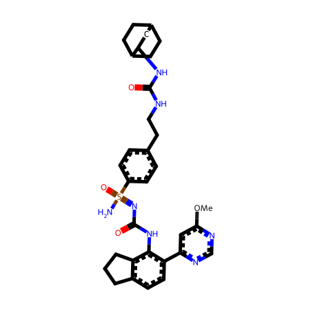 COc1cc(-c2ccc3c(c2NC(=O)N=S(N)(=O)c2ccc(CCNC(=O)NC4CC5CCC4CC5)cc2)CCC3)ncn1